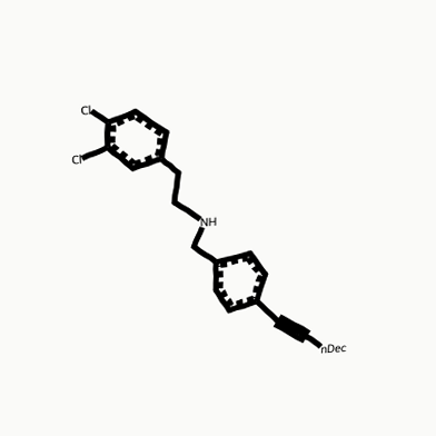 CCCCCCCCCCC#Cc1ccc(CNCCc2ccc(Cl)c(Cl)c2)cc1